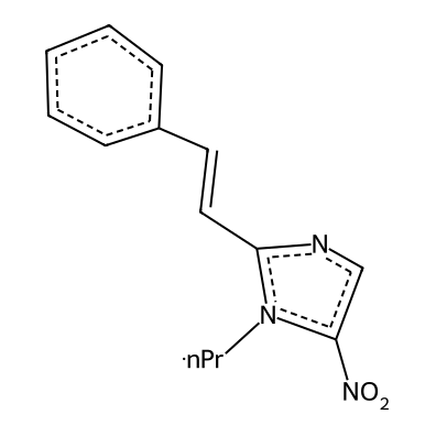 CC[CH]n1c([N+](=O)[O-])cnc1C=Cc1ccccc1